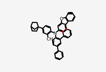 Cc1cc(C23CCC(CC2)C3)ccc1N(c1ccc2c(c1)oc1c#cccc12)c1ccc(-c2ccccc2)cc1-c1ccccc1